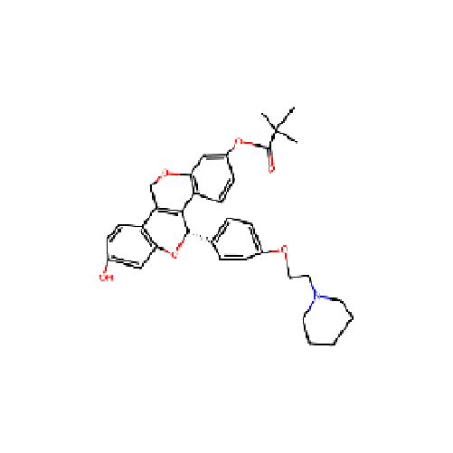 CC(C)(C)C(=O)Oc1ccc2c(c1)OCC1=C2[C@H](c2ccc(OCCN3CCCCC3)cc2)Oc2cc(O)ccc21